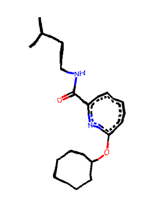 CC(C)CCNC(=O)c1cccc(OC2CCCCC2)n1